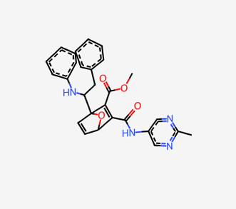 COC(=O)C1=C(C(=O)Nc2cnc(C)nc2)C2C=CC1(C(Cc1ccccc1)Nc1ccccc1)O2